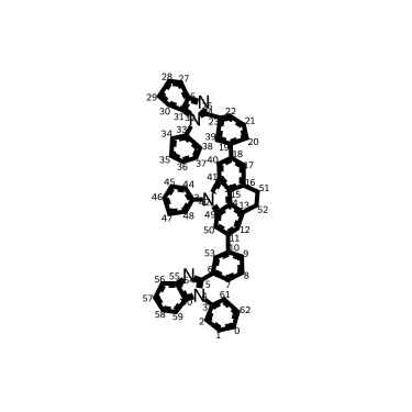 c1ccc(-n2c(-c3cccc(-c4cc5c6c7c(cc(-c8cccc(-c9nc%10ccccc%10n9-c9ccccc9)c8)cc7n(-c7ccccc7)c6c4)CC5)c3)nc3ccccc32)cc1